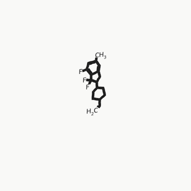 C=CC1CCC(C2Cc3cc(C)cc(F)c3C2(F)F)CC1